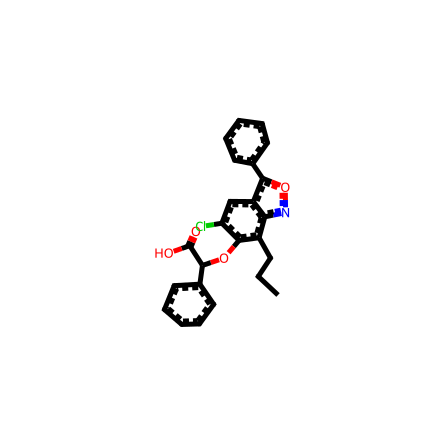 CCCc1c(OC(C(=O)O)c2ccccc2)c(Cl)cc2c(-c3ccccc3)onc12